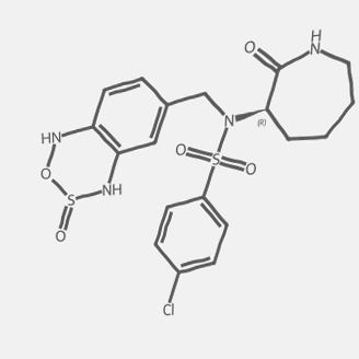 O=C1NCCCC[C@H]1N(Cc1ccc2c(c1)NS(=O)ON2)S(=O)(=O)c1ccc(Cl)cc1